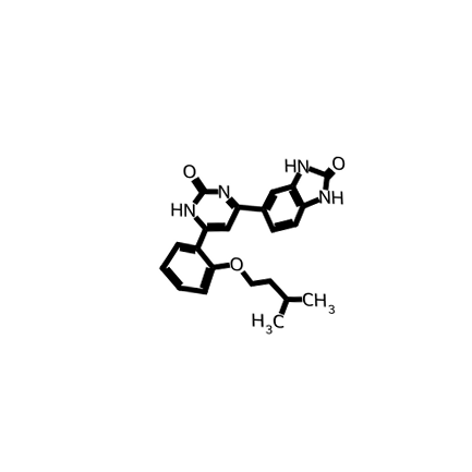 CC(C)CCOc1ccccc1-c1cc(-c2ccc3[nH]c(=O)[nH]c3c2)nc(=O)[nH]1